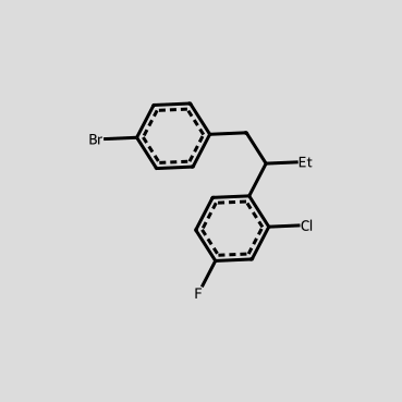 CCC(Cc1ccc(Br)cc1)c1ccc(F)cc1Cl